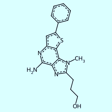 Cn1c(CCCO)nc2c(N)nc3cc(-c4ccccc4)sc3c21